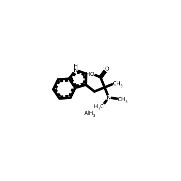 CN(C)C(C)(Cc1c[nH]c2ccccc12)C(=O)O.[AlH3]